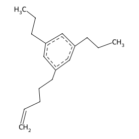 C=CCCCc1cc(CCC)cc(CCC)c1